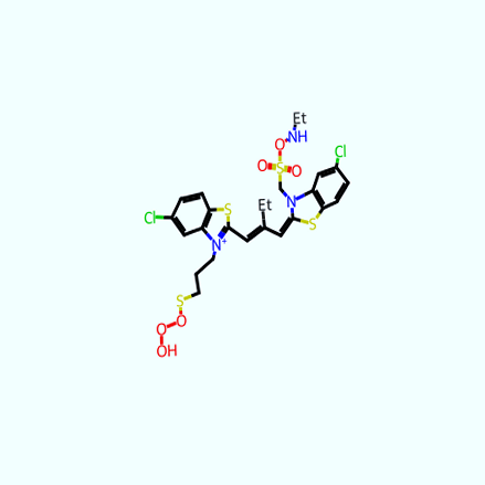 CCNOS(=O)(=O)CN1/C(=C\C(=C\c2sc3ccc(Cl)cc3[n+]2CCCSOOO)CC)Sc2ccc(Cl)cc21